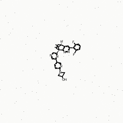 CC1(C)[C@H]2CC[C@@]1(c1cncc(-c3ccc(N4CC(O)C4)nc3)n1)c1nnc(-c3c(F)cccc3F)cc12